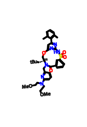 COCCN(CCOC)c1cccc(CN2C(=O)c3cccc(c3)S(=O)(=O)Nc3nc(cc(-c4c(C)cccc4C)n3)OC[C@H]2CC(C)(C)C)n1